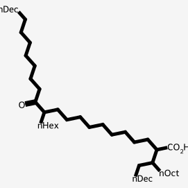 CCCCCCCCCCCCCCCCCC(=O)C(CCCCCC)CCCCCCCCCC(C(=O)O)C(CCCCCCCC)CCCCCCCCCCC